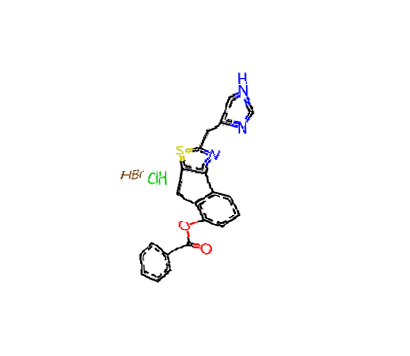 Br.Cl.O=C(Oc1cccc2c1Cc1sc(Cc3c[nH]cn3)nc1-2)c1ccccc1